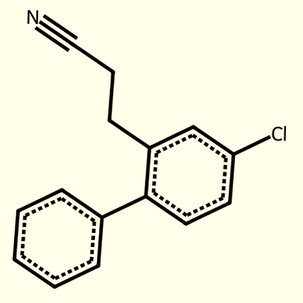 N#CCCc1cc(Cl)ccc1-c1ccccc1